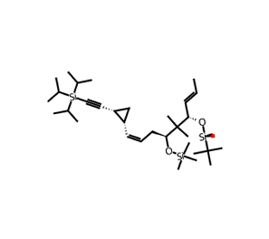 C/C=C/[C@H](O[Si](C)(C)C(C)(C)C)C(C)(C)[C@H](C/C=C\[C@H]1C[C@H]1C#C[Si](C(C)C)(C(C)C)C(C)C)O[Si](C)(C)C